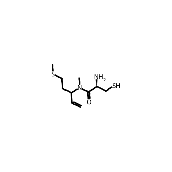 C=CC(CCSC)N(C)C(=O)[C@@H](N)CS